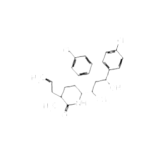 C=CC[C@@]1(C)C[C@H](c2cccc(Cl)c2)[C@H](C(C)C[C@H](O)c2ccc(Cl)cc2)NC1=O